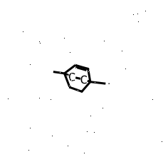 [CH2]C12C=CC(C)(CC1)CC2